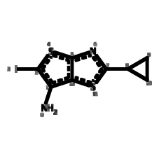 Nc1c(I)sc2nc(C3CC3)sc12